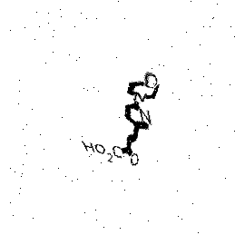 O=C(O)C(=O)C=Cc1ccc(N2CCOCC2)nc1